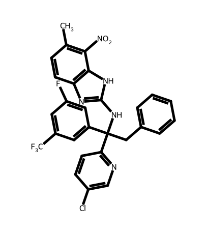 Cc1ccc2nc(NC(Cc3ccccc3)(c3cc(F)cc(C(F)(F)F)c3)c3ccc(Cl)cn3)[nH]c2c1[N+](=O)[O-]